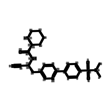 CN(C)S(=O)(=O)c1ccc(-c2ccc(C[C@@H](C#N)NC(=O)[C@@H]3CCCCN3)cn2)cc1